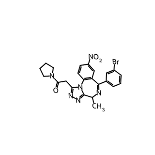 CC1N=C(c2cccc(Br)c2)c2cc([N+](=O)[O-])ccc2-n2c(CC(=O)N3CCCC3)nnc21